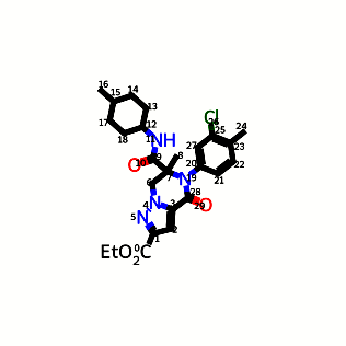 CCOC(=O)c1cc2n(n1)CC(C)(C(=O)NC1CCC(C)CC1)N(c1ccc(C)c(Cl)c1)C2=O